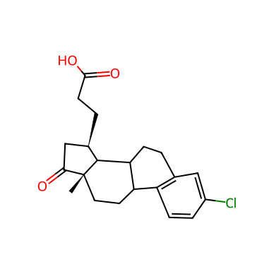 C[C@]12CCC3c4ccc(Cl)cc4CCC3C1[C@H](CCC(=O)O)CC2=O